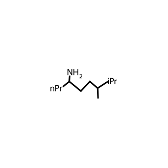 CCCC(N)CCC(C)C(C)C